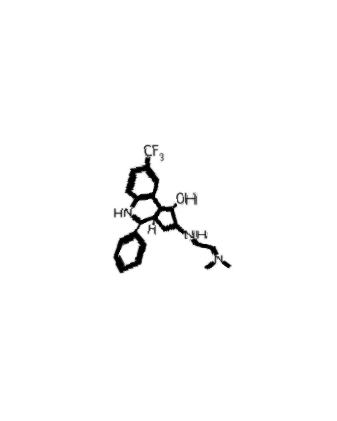 CN(C)CCNC1C[C@@H]2C(c3cc(C(F)(F)F)ccc3N[C@@H]2c2ccccc2)[C@H]1O